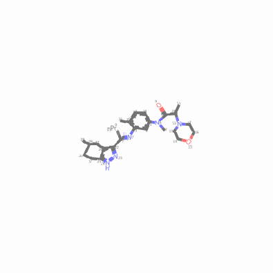 CCC/C(=N\c1cc(N(C)C(=O)C(C)N2CCOCC2)ccc1C)c1n[nH]c2c1CC(C)CC2